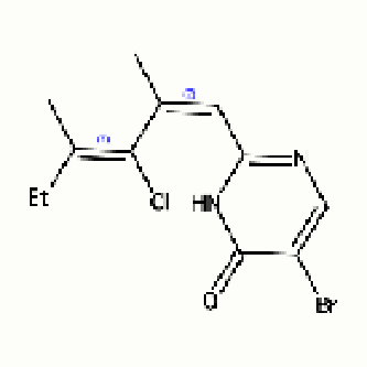 CC/C(C)=C(Cl)/C(C)=C\c1ncc(Br)c(=O)[nH]1